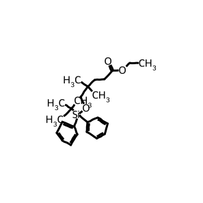 CCOC(=O)CCC(C)(C)CO[Si](c1ccccc1)(c1ccccc1)C(C)(C)C